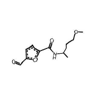 COCCC(C)NC(=O)c1ccc(C=O)o1